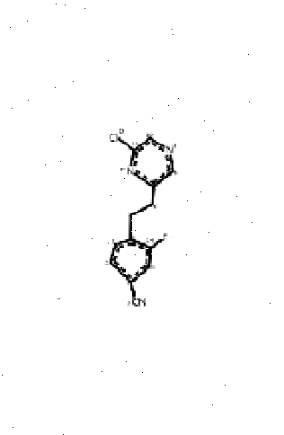 N#Cc1ccc(CCc2cncc(Cl)n2)c(F)c1